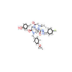 COc1ccc(CN2C[C@H]3N(C(=O)CN(C)N3C(=O)NCc3ccc(F)cc3)[C@@H](Cc3ccc(O)cc3)C2=O)cc1